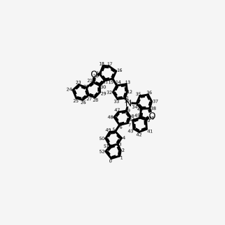 c1ccc2cc(-c3ccc(N(c4ccc(-c5cccc6oc7c8ccccc8ccc7c56)cc4)c4cccc5oc6ccccc6c45)cc3)ccc2c1